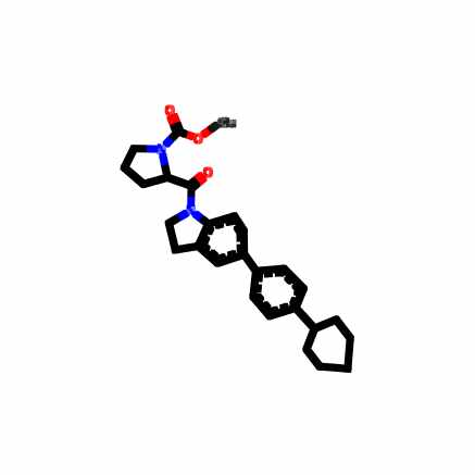 CC(C)(C)OC(=O)N1CCCC1C(=O)N1CCc2cc(-c3ccc(C4CCCCC4)cc3)ccc21